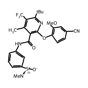 CN[S@+]([O-])c1cccc(NC(=O)c2c(Oc3ccc(C#N)cc3OC)nc(C(C)(C)C)c(C(F)(F)F)c2C)c1